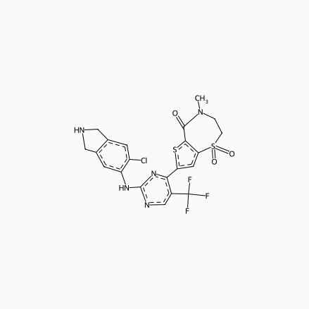 CN1CCS(=O)(=O)c2cc(-c3nc(Nc4cc5c(cc4Cl)CNC5)ncc3C(F)(F)F)sc2C1=O